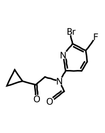 O=CN(CC(=O)C1CC1)c1ccc(F)c(Br)n1